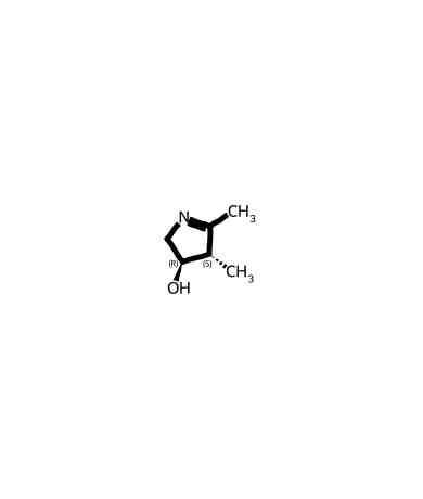 CC1=NC[C@H](O)[C@H]1C